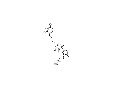 CC(C)(O)COc1cc(C2(NS(=O)(=O)CCCCCC3CCC(=O)NC3=O)CC2)ccc1F